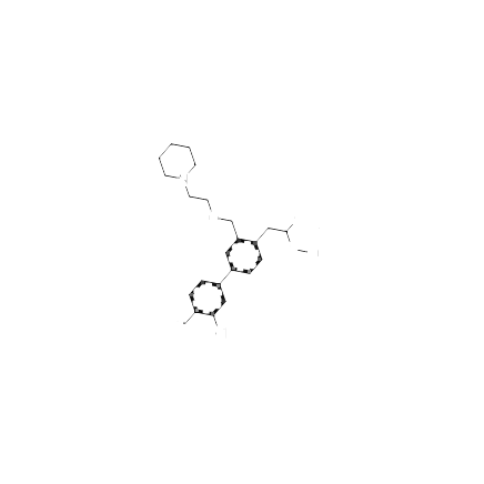 [CH2]C(Cc1ccc(-c2ccc(Cl)c(Cl)c2)cc1COCCN1CCCCC1)SCC